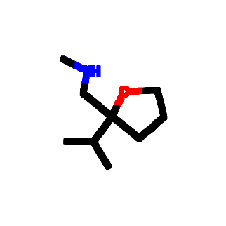 CNCC1(C(C)C)CCCO1